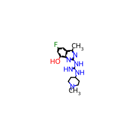 Cc1nc(NC(=N)NC2CCN(C)CC2)nc2c(O)cc(F)cc12